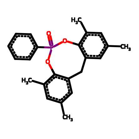 Cc1cc(C)c2c(c1)Cc1cc(C)cc(C)c1OP(=O)(c1ccccc1)O2